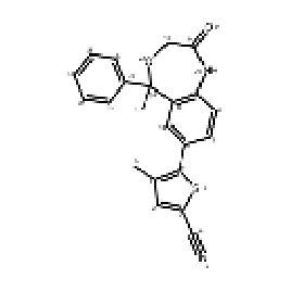 Cc1cc(C#N)sc1-c1ccc2c(c1)C(C)(c1ccccc1)OCC(=O)N2